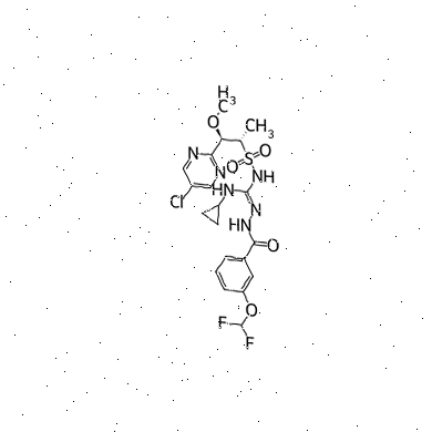 CO[C@H](c1ncc(Cl)cn1)[C@H](C)S(=O)(=O)N/C(=N/NC(=O)c1cccc(OC(F)F)c1)NC1CC1